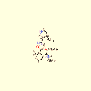 CNC(=O)/C(=N/OC)c1cccc(C)c1CO/N=C(\C)c1cnccc1C(F)(F)F